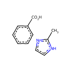 Cc1ncc[nH]1.O=C(O)c1ccccc1